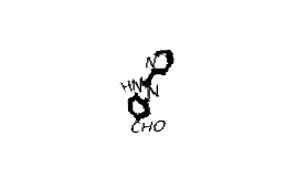 O=Cc1ccc2[nH]c(-c3ccccn3)nc2c1